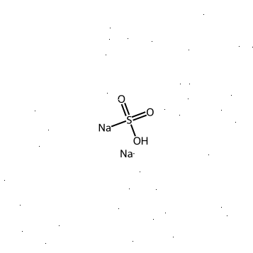 O=[S](=O)(O)[Na].[Na]